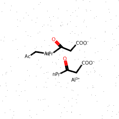 CCCC(=O)CC(=O)[O-].CCCC(=O)CC(=O)[O-].[Al+3].[CH2-]C(=O)CC(C)=O